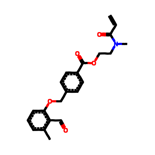 C=CC(=O)N(C)CCOC(=O)c1ccc(COc2cccc(C)c2C=O)cc1